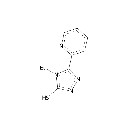 CCn1c(S)nnc1-c1ccccn1